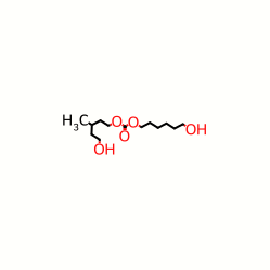 CC(CCO)CCOC(=O)OCCCCCCO